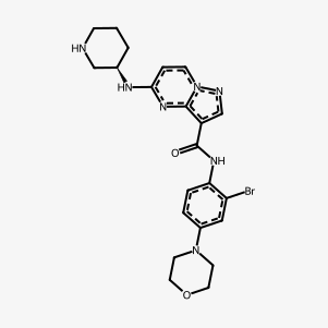 O=C(Nc1ccc(N2CCOCC2)cc1Br)c1cnn2ccc(N[C@@H]3CCCNC3)nc12